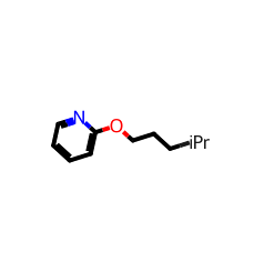 CC(C)CCCOc1ccccn1